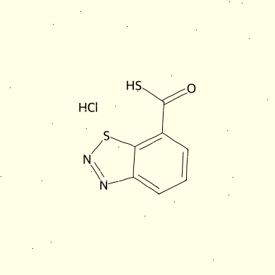 Cl.O=C(S)c1cccc2nnsc12